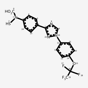 O=C(O)N(S)c1ccc(-c2ncn(-c3ccc(OC(F)(F)C(F)(F)F)cc3)n2)cc1